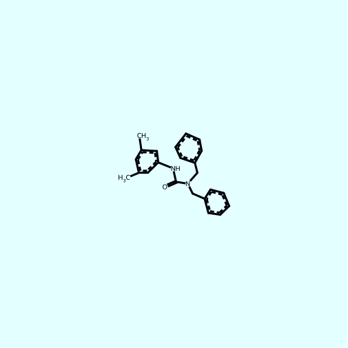 Cc1cc(C)cc(NC(=O)N(Cc2ccccc2)Cc2ccccc2)c1